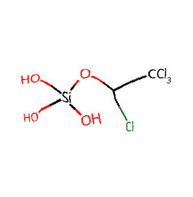 O[Si](O)(O)OC(Cl)C(Cl)(Cl)Cl